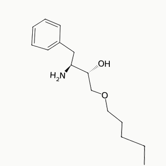 CCCCCOC[C@@H](O)[C@@H](N)Cc1ccccc1